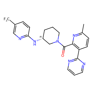 Cc1ccc(-c2ncccn2)c(C(=O)N2CCC[C@@H](Nc3ccc(C(F)(F)F)cn3)C2)n1